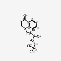 O=C1CCC2CN(C(=O)OCC(Cl)(Cl)Cl)c3cccc1c32